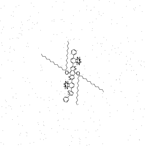 CCCCCCCCCCCCC(CCCCCCCCCCCC)Oc1c2cc(-c3ccc(-c4ccc(-c5ccccc5)s4)c4nsnc34)sc2c(OC(CCCCCCCCCCCC)CCCCCCCCCCCC)c2cc(-c3ccc(-c4ccccc4)c4nsnc34)sc12